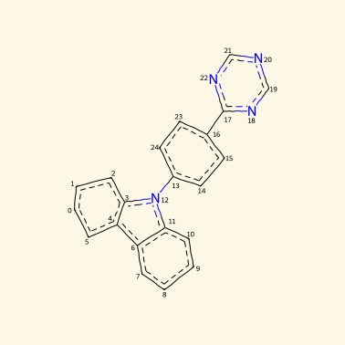 c1ccc2c(c1)c1ccccc1n2-c1ccc(-c2ncncn2)cc1